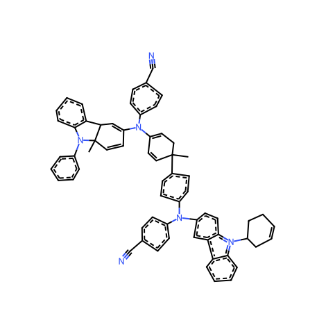 CC1(c2ccc(N(c3ccc(C#N)cc3)c3ccc4c(c3)c3ccccc3n4C3CC=CCC3)cc2)C=CC(N(C2=CC3c4ccccc4N(c4ccccc4)C3(C)C=C2)c2ccc(C#N)cc2)=CC1